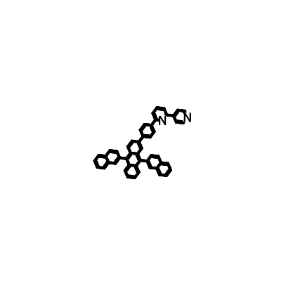 c1cc(-c2ccncc2)nc(-c2ccc(-c3ccc4c(-c5ccc6ccccc6c5)c5ccccc5c(-c5ccc6ccccc6c5)c4c3)cc2)c1